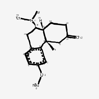 CCCCOc1ccc2c(c1)[C@@]1(C)CC(=O)CC[C@H]1[C@H](N(C)CC)C2